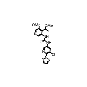 COc1cncc(NC(=O)Nc2cnc(-n3nccn3)c(Cl)c2)c1C(C)OC